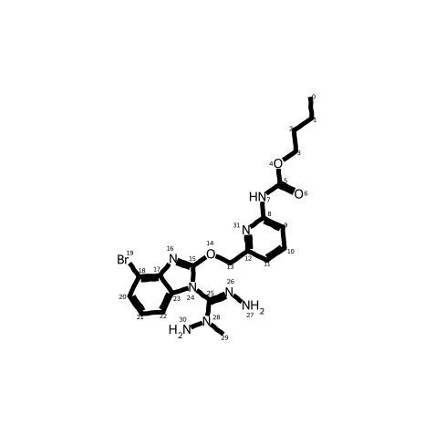 CCCCOC(=O)Nc1cccc(COc2nc3c(Br)cccc3n2/C(=N/N)N(C)N)n1